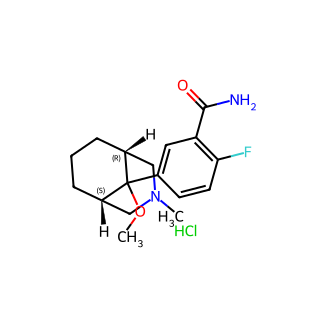 COC1(c2ccc(F)c(C(N)=O)c2)[C@@H]2CCC[C@H]1CN(C)C2.Cl